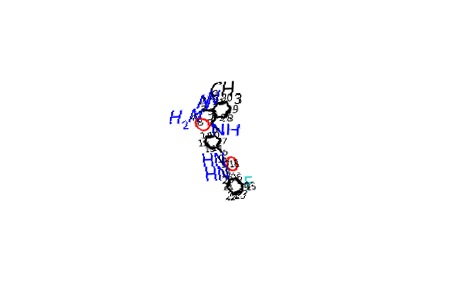 Cn1nc(N)c2c(C(=O)Nc3cccc(CNC(=O)Nc4cccc(F)c4)c3)cccc21